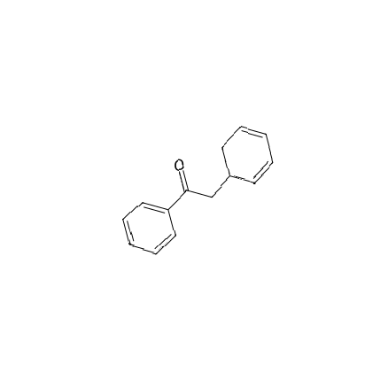 O=C(CC1C=CC=CC1)c1ccccc1